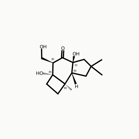 CC1(C)C[C@H]2[C@@](O)(C1)C(=O)[C@H](CO)[C@]1(O)CC[C@]21C